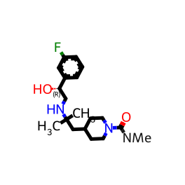 CNC(=O)N1CCC(CC(C)(C)NC[C@H](O)c2cccc(F)c2)CC1